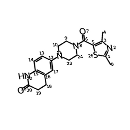 Cc1nc(C)c(C(=O)N2CCN(c3ccc4c(c3)CCC(=O)N4)CC2)s1